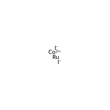 [Co+2].[I-].[I-].[Ru]